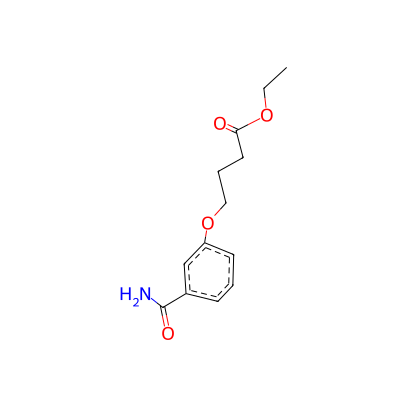 CCOC(=O)CCCOc1cccc(C(N)=O)c1